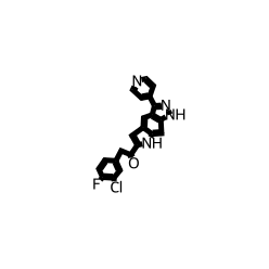 O=C(Cc1ccc(F)c(Cl)c1)c1cc2cc3c(-c4ccncc4)n[nH]c3cc2[nH]1